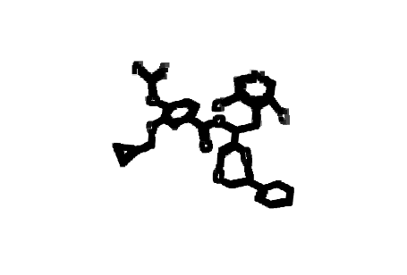 O=C(OC(Cc1c(Cl)cncc1Cl)C1=COC=C(C2=CC=CCC2)O1)c1ccc(OC(F)F)c(OCC2CC2)c1